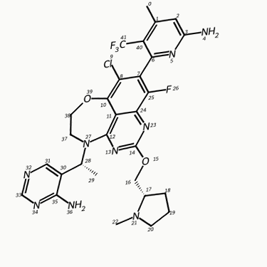 Cc1cc(N)nc(-c2c(Cl)c3c4c(nc(OC[C@@H]5CCCN5C)nc4c2F)N([C@H](C)c2cncnc2N)CCO3)c1C(F)(F)F